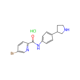 Cl.O=C(Nc1ccc(C2CCNC2)cc1)c1ccc(Br)cn1